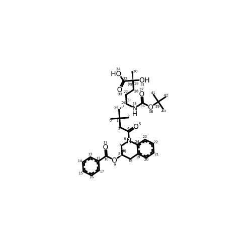 CC(C)(CC(=O)N1C[C@H](OC(=O)c2ccccc2)Cc2ccccc21)C[C@H](CC[C@@](C)(O)C(=O)O)NC(=O)OC(C)(C)C